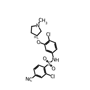 CN1CC[C@@H](Oc2cc(NS(=O)(=O)c3ccc(C#N)cc3Cl)ccc2Cl)C1